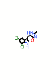 C=C1NC(Cc2c[nH]c3c(Cl)cc(Cl)cc23)C(=O)N1C